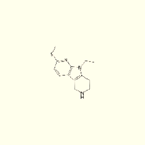 CCn1c2c(c3ccc(SC)nc31)CNCC2